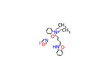 CCC[N+]1(CCC)c2ccccc2OC1C=CC=C1Nc2ccccc2O1.[I-].c1cocn1